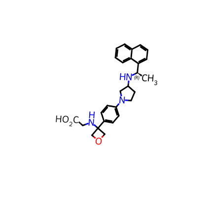 C[C@@H](NC1CCN(c2ccc(C3(NCC(=O)O)COC3)cc2)C1)c1cccc2ccccc12